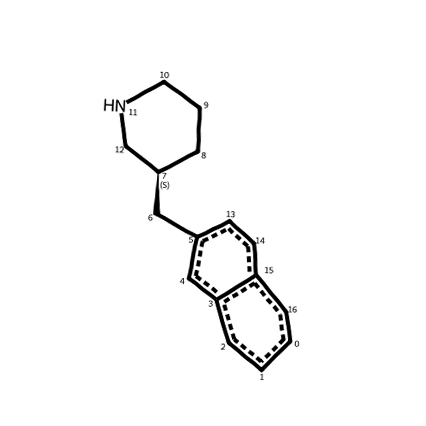 c1ccc2cc(C[C@@H]3CCCNC3)ccc2c1